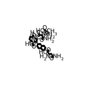 CC(C)[C@H](N)C(N)=O.C[C@H](N)C(=O)O.NC(=O)C[C@H](N)C(=O)O.O=C(O)[C@@H]1[C@H](c2ccc3ccccc3c2)CC[N+]12C(=O)CCC2=O